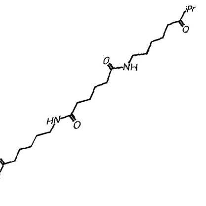 CCC(=O)CCCCCNC(=O)CCCCC(=O)NCCCCCC(=O)C(C)C